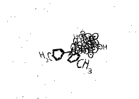 Cc1ccc([I+](OP(=O)(O)OP(=O)(O)OP(=O)([O-])OP(=O)(O)OP(=O)(O)OP(=O)(O)O)c2ccc(C)cc2)cc1